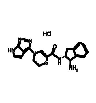 Cl.N[C@@H]1c2ccccc2C[C@H]1NC(=O)C1=CN(c2ncnc3[nH]ccc23)CCS1